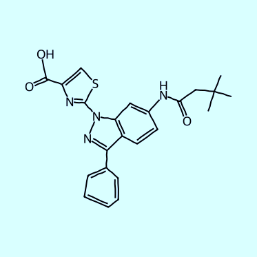 CC(C)(C)CC(=O)Nc1ccc2c(-c3ccccc3)nn(-c3nc(C(=O)O)cs3)c2c1